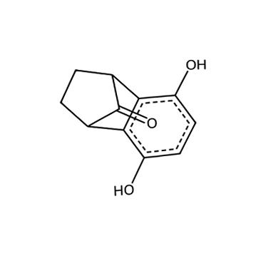 O=C1C2CCC1c1c(O)ccc(O)c12